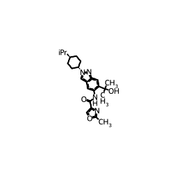 Cc1nc(C(=O)Nc2cc3cn([C@H]4CC[C@H](C(C)C)CC4)nc3cc2C(C)(C)O)co1